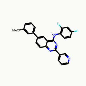 COc1cccc(-c2ccc3nc(-c4cccnc4)nc(Nc4ccc(F)cc4F)c3c2)c1